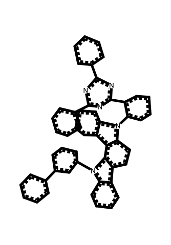 c1ccc(-c2cccc(-n3c4ccccc4c4ccc5c(c6ccccc6n5-c5ccccc5-c5nc(-c6ccccc6)nc(-c6ccccc6)n5)c43)c2)cc1